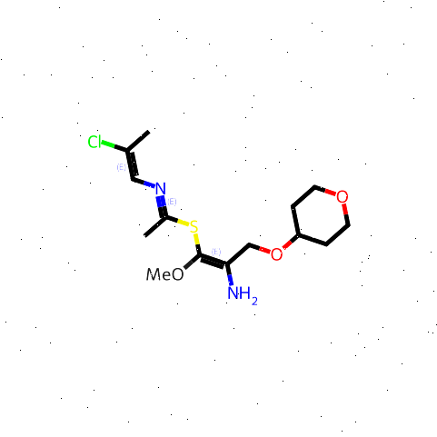 CO/C(S/C(C)=N/C=C(\C)Cl)=C(\N)COC1CCOCC1